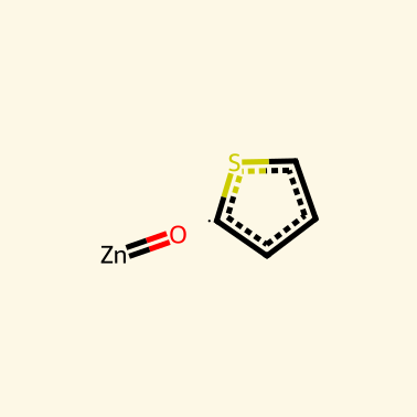 [O]=[Zn].[c]1cccs1